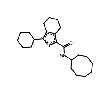 O=C(NC1CCCCCCC1)c1nn(C2CCCCC2)c2c1CCCC2